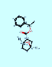 C[C@@H](OC(=O)[C@@H]1C[C@H]2CC[C@@H]1O2)c1ccccc1